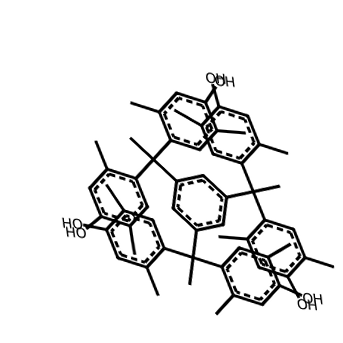 Cc1cc(C(C)(c2cc(C(C)(c3cc(C)c(O)cc3C)c3cc(C)c(O)cc3C)cc(C(C)(c3cc(C)c(O)cc3C)c3cc(C)c(O)cc3C)c2)c2cc(C)c(O)cc2C)c(C)cc1O